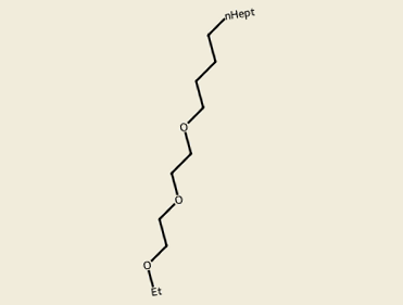 [CH2]COCCOCCOCCCCCCCCCCC